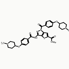 COC(=O)c1cc2c(s1)c(NC(=O)c1ccc(OC3CCN(C)CC3)cc1)nn2C(=O)c1ccc(OC2CCN(C)CC2)cc1